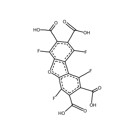 O=C(O)c1c(C(=O)O)c(F)c2c(oc3c(F)c(C(=O)O)c(C(=O)O)c(F)c32)c1F